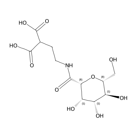 O=C(O)C(CCNC(=O)[C@@H]1O[C@H](CO)[C@@H](O)[C@H](O)[C@@H]1O)C(=O)O